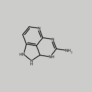 NC1=Nc2nccc3c2C(NN3)N1